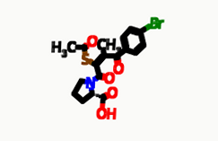 CC(=O)S/C(C(=O)N1CCC[C@H]1C(=O)O)=C(\C)C(=O)c1ccc(Br)cc1